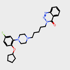 O=c1c2ccccc2nnn1CCCCCN1CCN(c2cc(F)ccc2OC2CCCC2)CC1